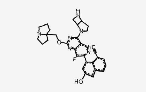 C#Cc1cccc2cc(O)cc(-c3ncc4c(N5CCC6NCC65)nc(OCC56CCCN5CCC6)nc4c3F)c12